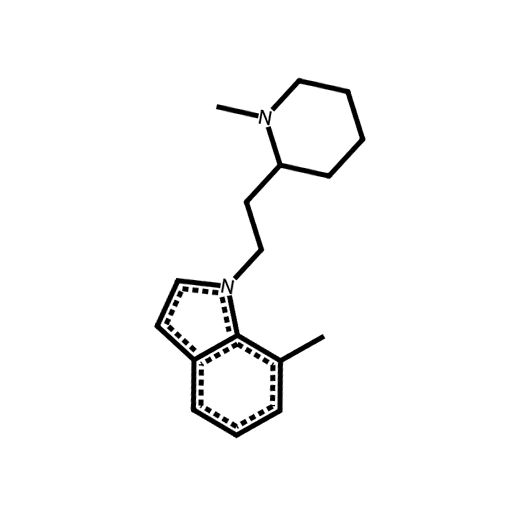 Cc1cccc2ccn(CCC3CCCCN3C)c12